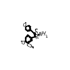 COc1ccc(-c2sc(N)nc2-c2ccc(OC)c(OC)c2)cc1